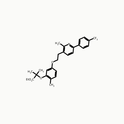 CCOC(=O)C(C)(C)Oc1cc(OCCc2ccc(-c3ccc(C(F)(F)F)cc3)nc2C)ccc1C